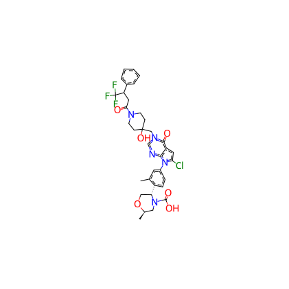 Cc1cc(-n2c(Cl)cc3c(=O)n(CC4(O)CCN(C(=O)CC(c5ccccc5)C(F)(F)F)CC4)cnc32)ccc1[C@H]1CO[C@H](C)CN1C(=O)O